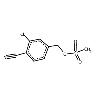 CS(=O)(=O)OCc1ccc(C#N)c(Cl)c1